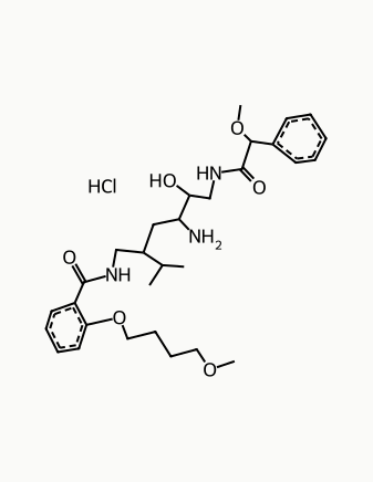 COCCCCOc1ccccc1C(=O)NCC(CC(N)C(O)CNC(=O)C(OC)c1ccccc1)C(C)C.Cl